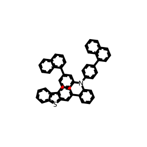 c1cc(-c2cccc3ccccc23)cc(N(c2ccc(-c3cccc4ccccc34)cc2)c2ccccc2-c2ccc3c(c2)sc2ccccc23)c1